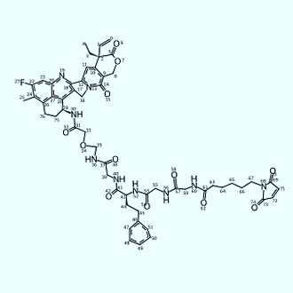 C=C[C@]1(CC)C(=O)OCc2c1cc1n(c2=O)Cc2c-1nc1cc(F)c(C)c3c1c2[C@@H](NC(=O)COCNC(=O)CNC(=O)[C@H](CCc1ccccc1)NC(=O)CNC(=O)CNC(=O)CCCCCN1C(=O)C=CC1=O)CC3